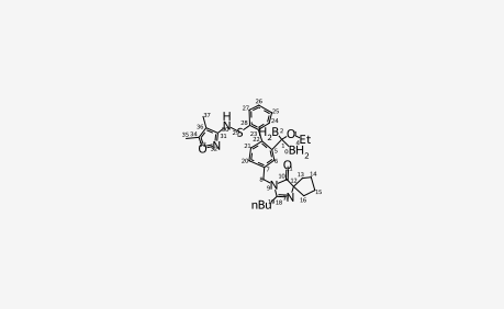 BC(B)(OCC)c1cc(CN2C(=O)C3(CCCC3)N=C2CCCC)ccc1-c1ccccc1SNc1noc(C)c1C